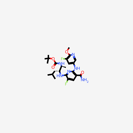 COc1ncc(Nc2nc(N[C@H](CC(C)C)[C@H](C)NC(=O)OC(C)(C)C)c(F)cc2C(N)=O)cc1F